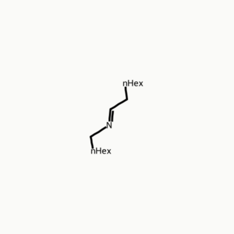 CCCCCCCC=NCCCCCCC